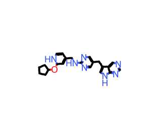 C1=CC(CNc2ncc(Cc3c[nH]c4ncncc34)cn2)=CC(OC2CCCC2)N1